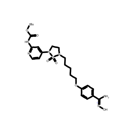 CC(C)(C)OC(=O)Nc1cc(N2CCN(CCCCCOc3ccc(/C(N)=N/O)cc3)S2(=O)=O)ccn1